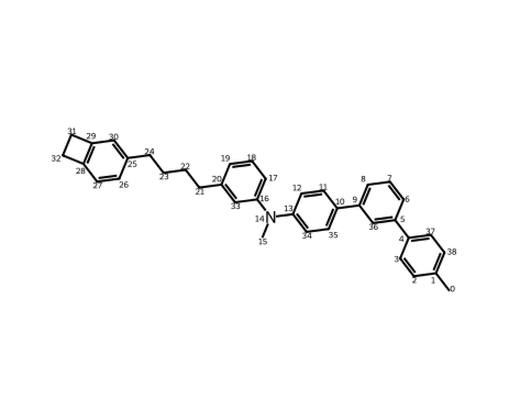 Cc1ccc(-c2cccc(-c3ccc(N(C)c4cccc(CCCCc5ccc6c(c5)CC6)c4)cc3)c2)cc1